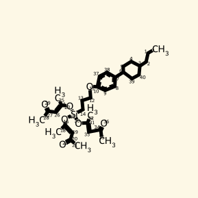 CCCC1CCC(c2ccc(OCCC[Si](OC(C)=CC(C)=O)(OC(C)=CC(C)=O)OC(C)=CC(C)=O)cc2)CC1